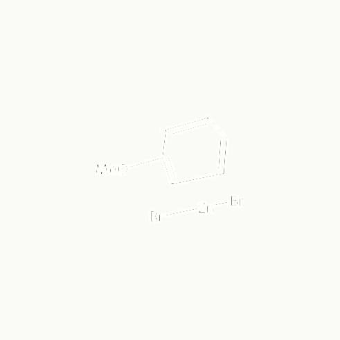 COc1[c]cccc1.[Br][Zn][Br]